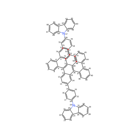 c1ccc(-c2ccccc2-c2c3ccc(-c4ccc(-n5c6ccccc6c6ccccc65)cc4)cc3c(-c3ccccc3-c3ccccc3)c3ccc(-c4ccc(-n5c6ccccc6c6ccccc65)cc4)cc23)cc1